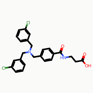 O=C(O)CCNC(=O)c1ccc(CN(Cc2cccc(Cl)c2)Cc2cccc(Cl)c2)cc1